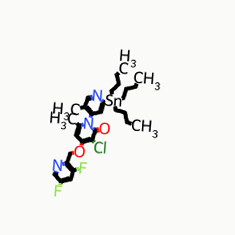 CCC[CH2][Sn]([CH2]CCC)([CH2]CCC)[c]1cc(-n2c(C)cc(OCc3ncc(F)cc3F)c(Cl)c2=O)c(C)cn1